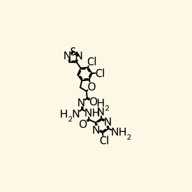 NC(=NC(=O)C1Cc2cc(-c3cnsn3)c(Cl)c(Cl)c2O1)NC(=O)c1nc(Cl)c(N)nc1N